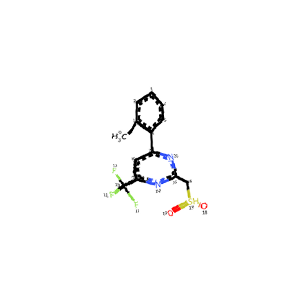 Cc1ccccc1-c1cc(C(F)(F)F)nc(C[SH](=O)=O)n1